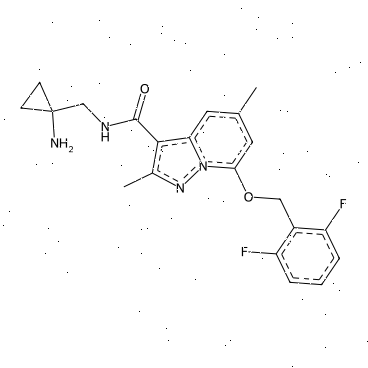 Cc1cc(OCc2c(F)cccc2F)n2nc(C)c(C(=O)NCC3(N)CC3)c2c1